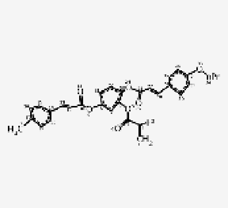 C=C(F)C(=O)Oc1cc(OC(=O)/C=C/c2ccc(C)cc2)ccc1OC(=O)/C=C/c1ccc(OCCC)cc1